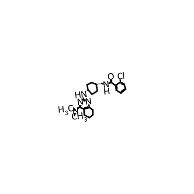 CN(C)c1nc(N[C@H]2CC[C@@H](CNC(=O)c3ccccc3Cl)CC2)nc2c1CCCC2